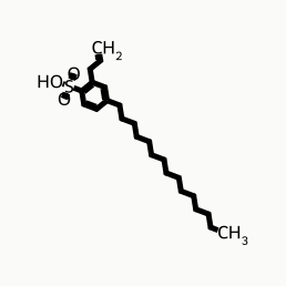 C=CCc1cc(CCCCCCCCCCCCCCC)ccc1S(=O)(=O)O